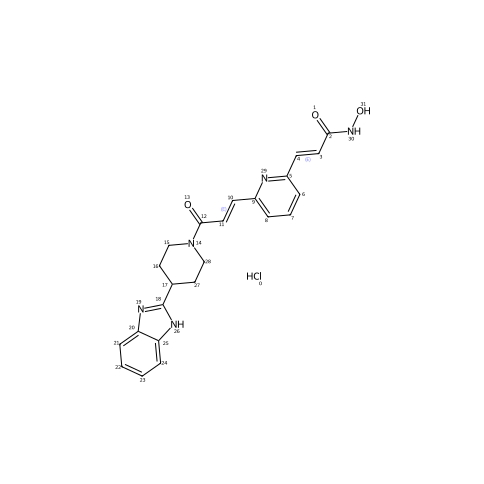 Cl.O=C(/C=C/c1cccc(/C=C/C(=O)N2CCC(c3nc4ccccc4[nH]3)CC2)n1)NO